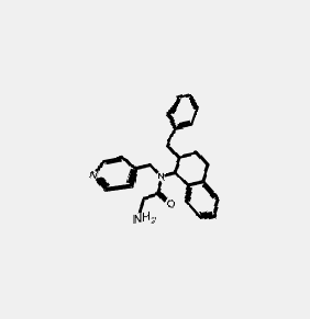 NCC(=O)N(Cc1ccncc1)C1c2ccccc2CCC1Cc1ccccc1